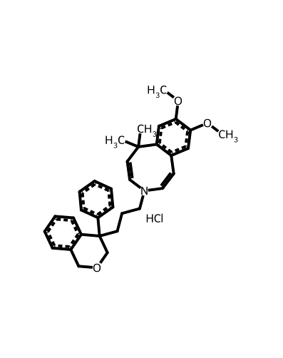 COc1cc2c(cc1OC)C(C)(C)C=CN(CCCC1(c3ccccc3)COCc3ccccc31)C=C2.Cl